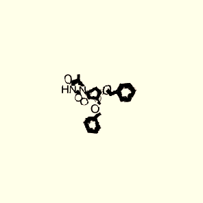 Cc1cn([C@H]2C[C@H](OCc3ccccc3)[C@@H](COCc3ccccc3)C2=O)c(=O)[nH]c1=O